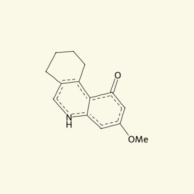 COc1cc2[nH]cc3c(c-2c(=O)c1)CCCC3